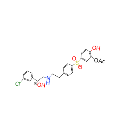 CC(=O)Oc1cc(S(=O)(=O)c2ccc(CCNC[C@H](O)c3cccc(Cl)c3)cc2)ccc1O